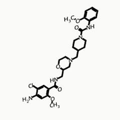 COc1ccccc1NC(=O)N1CCC(CN2CCOC(CNC(=O)c3cc(Cl)c(N)cc3OC)C2)CC1